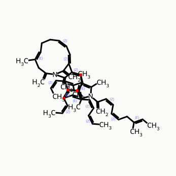 C=C(/C=C\C=C/C/C(C)=C/C)n1c(C)c(\C=c2/c(=C)n3c(=C)/c2=C\C=C/CC/C=C(\C)CC3=C)c(\C2=C/C=C(\C=C/C=C\C)C(/C=C\C=C/C)=C(C)/C(C)=C2\C=C/C)c1C